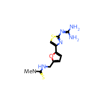 CNC(=S)NCc1ccc(-c2csc(N=C(N)N)n2)o1